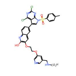 Cc1ccc(S(=O)(=O)n2cc(-c3ccc4nc(O)c(OCCOc5cncc(CNC(=O)O)c5)cc4c3)c3c(Cl)nc(Cl)nc32)cc1